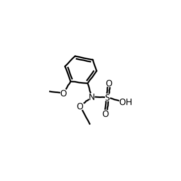 COc1ccccc1N(OC)S(=O)(=O)O